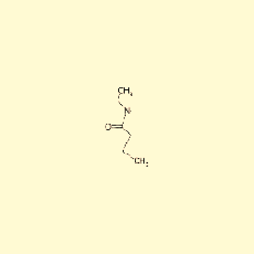 CCCC(=O)[N]CC